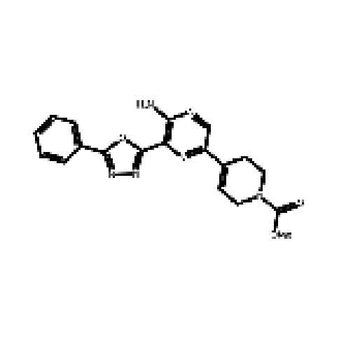 COC(=O)N1CC=C(c2cnc(N)c(-c3nnc(-c4ccccc4)o3)n2)CC1